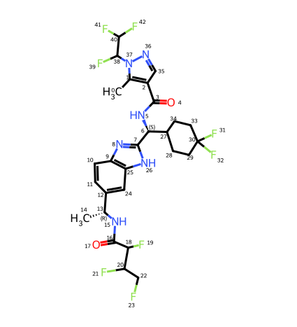 Cc1c(C(=O)N[C@H](c2nc3ccc([C@@H](C)NC(=O)C(F)C(F)CF)cc3[nH]2)C2CCC(F)(F)CC2)cnn1C(F)C(F)F